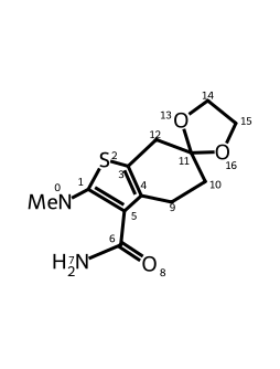 CNc1sc2c(c1C(N)=O)CCC1(C2)OCCO1